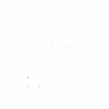 OC[C@H]1O[C@@H](c2ccc(-c3ccc([C@@H]4[C@@H](CCCC(O)c5ccc(F)cc5)CC(=S)N4c4ccc(-c5ccccc5)cc4)c(O)c3)cc2)[C@H](O)[C@@H](O)[C@@H]1O